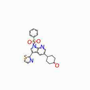 O=C1CCC(c2cnc3c(c2)c(-c2nccs2)cn3S(=O)(=O)c2ccccc2)CC1